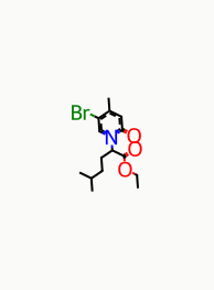 CCOC(=O)C(CCC(C)C)n1cc(Br)c(C)cc1=O